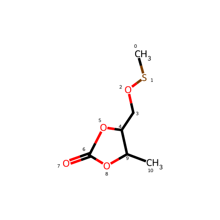 CSOCC1OC(=O)OC1C